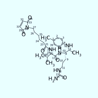 Cc1ccc(NC(C)[C@H](CCCNC(N)=O)NC(=O)[C@@H](NC(=O)CCCCCN2C(=O)C=CC2=O)C(C)C)cc1